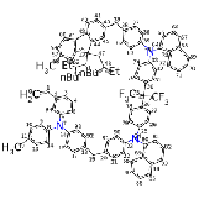 C=Cc1cccc(N(c2ccc(C)cc2)c2ccc(Cc3ccc(N(c4ccc(C(c5ccc(N(c6ccc(Cc7ccc8c(c7)C(CC(CC)CCCC)(CC(CC)CCCC)c7cc(C)ccc7-8)cc6)c6cccc7ccccc67)cc5)(C(F)(F)F)C(F)(F)F)cc4)c4cccc5ccccc45)cc3)cc2)c1